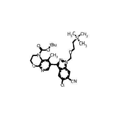 Cc1c(-c2nn(COCC[Si](C)(C)C)c3cc(C#N)c(Cl)cc23)cnc2c1N(C(=O)OC(C)(C)C)CCO2